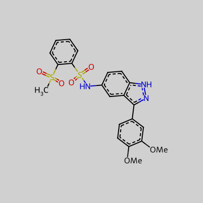 COc1ccc(-c2n[nH]c3ccc(NS(=O)(=O)c4ccccc4S(C)(=O)=O)cc23)cc1OC